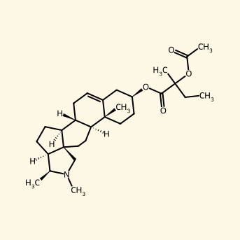 CCC(C)(OC(C)=O)C(=O)O[C@H]1CC[C@@]2(C)C(=CC[C@H]3[C@@H]4CC[C@@H]5[C@H](C)N(C)C[C@@]54CC[C@@H]32)C1